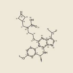 COc1cccc([C@H](C)Nc2nc(OCCN(CC3CNC3)C(=O)O)nc3c(C(C)C)cnn23)c1